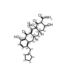 NC(=O)C1C(=O)[C@@]2(O)C(O)=C3C(=O)c4c(O)ccc(CN5CCCC5)c4C[C@H]3C[C@H]2CC1O